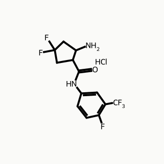 Cl.NC1CC(F)(F)CC1C(=O)Nc1ccc(F)c(C(F)(F)F)c1